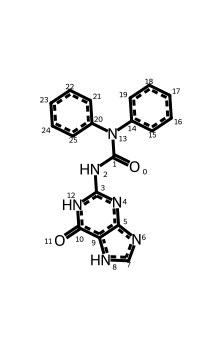 O=C(Nc1nc2nc[nH]c2c(=O)[nH]1)N(c1ccccc1)c1ccccc1